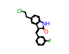 O=C1Nc2ccc(CCCl)cc2C1=Cc1cccc(F)c1